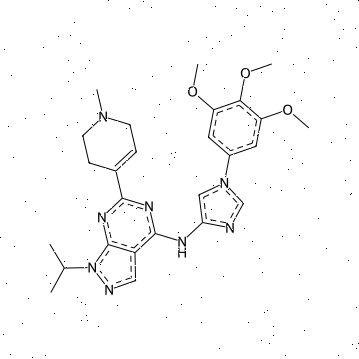 COc1cc(-n2cnc(Nc3nc(C4=CCN(C)CC4)nc4c3cnn4C(C)C)c2)cc(OC)c1OC